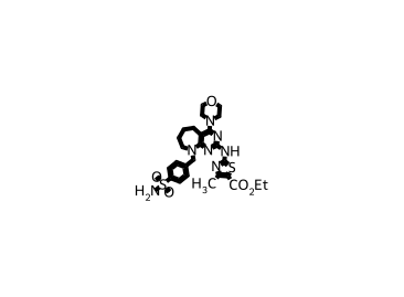 CCOC(=O)c1sc(Nc2nc(N3CCOCC3)c3c(n2)N(Cc2ccc(S(N)(=O)=O)cc2)CCCC3)nc1C